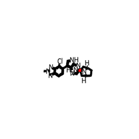 Cn1nc2ccc(-c3c[nH]c4nc(N5[C@@H]6CC[C@H]5C[C@@H](N)C6)cnc34)c(Cl)c2n1